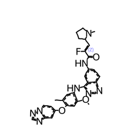 COc1cc(Oc2ccn3ncnc3c2)c(C)cc1Nc1ncnc2ccc(NC(=O)/C(F)=C/C3CCCN3C)cc12